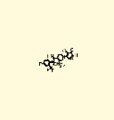 CN(C(=N)C1=C(N)CN(c2cn[nH]c(=O)c2Cl)CC1)c1ccc(F)cc1C(F)(F)F